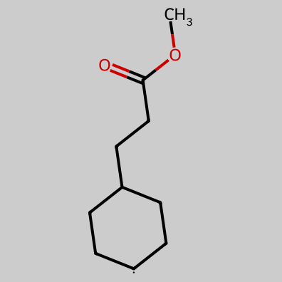 COC(=O)CCC1CC[CH]CC1